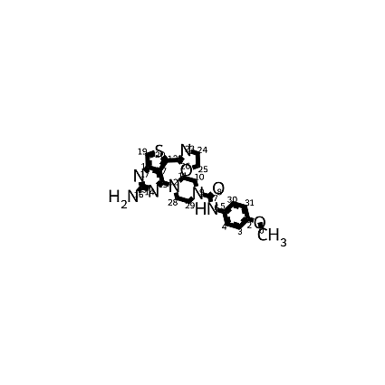 COc1ccc(NC(=O)N2CCN(c3nc(N)nc4csc(C5=NCCO5)c34)CC2)cc1